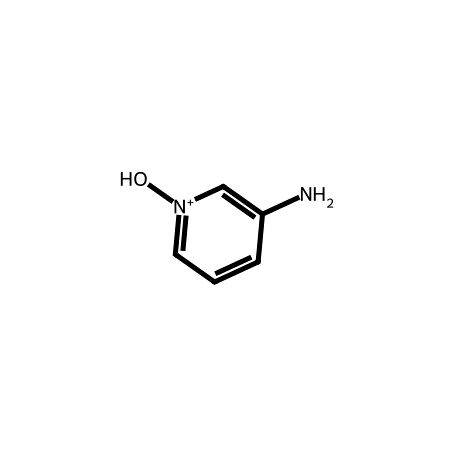 Nc1ccc[n+](O)c1